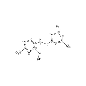 O=[N+]([O-])c1ccc(NCc2cc(C(F)(F)F)cc(C(F)(F)F)c2)c(CO)c1